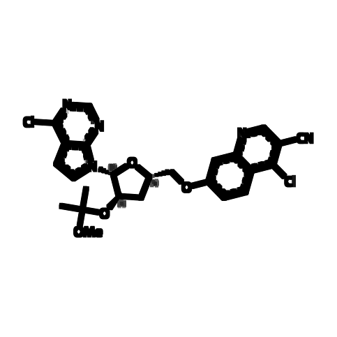 COC(C)(C)O[C@@H]1C[C@@H](COc2ccc3c(Cl)c(C#N)cnc3c2)O[C@H]1n1ccc2c(Cl)ncnc21